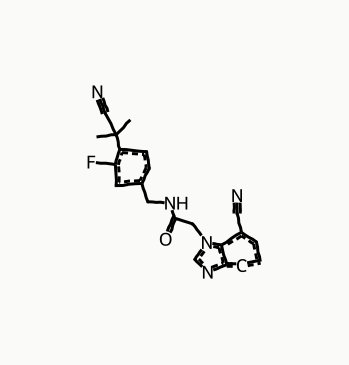 CC(C)(C#N)c1ccc(CNC(=O)Cn2cnc3cccc(C#N)c32)cc1F